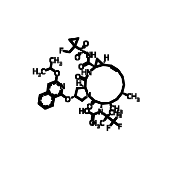 CC(C)Oc1cc2ccccc2c(O[C@@H]2C[C@H]3C(=O)N[C@]4(C(=O)NS(=O)(=O)C5(CF)CC5)C[C@H]4/C=C\CC[C@@H](C)C[C@@H](C)[C@H](N(C(=O)O)C(C)(C)C(F)(F)F)C(=O)N3C2)n1